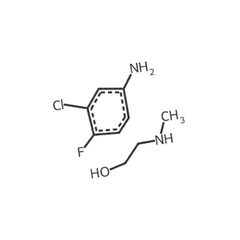 CNCCO.Nc1ccc(F)c(Cl)c1